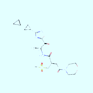 C1CC1.CC[C@H](NC(=O)C(CC(=O)N1CCOCC1)CS(C)(=O)=O)C(=O)c1nc(C2CC2)no1